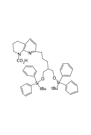 CC(C)(C)[Si](OCC(CCCc1ccc2c(n1)N(C(=O)O)CCC2)CO[Si](c1ccccc1)(c1ccccc1)C(C)(C)C)(c1ccccc1)c1ccccc1